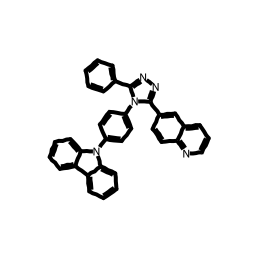 c1ccc(-c2nnc(-c3ccc4ncccc4c3)n2-c2ccc(-n3c4ccccc4c4ccccc43)cc2)cc1